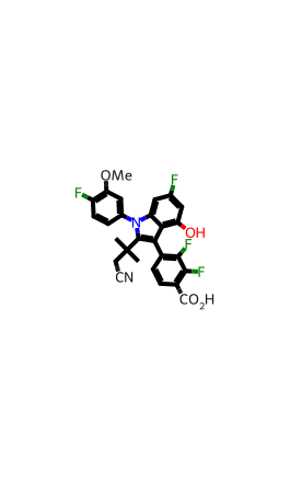 COc1cc(-n2c(C(C)(C)CC#N)c(-c3ccc(C(=O)O)c(F)c3F)c3c(O)cc(F)cc32)ccc1F